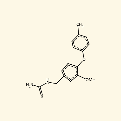 COc1cc(CNC(N)=S)ccc1Oc1ccc(C)cc1